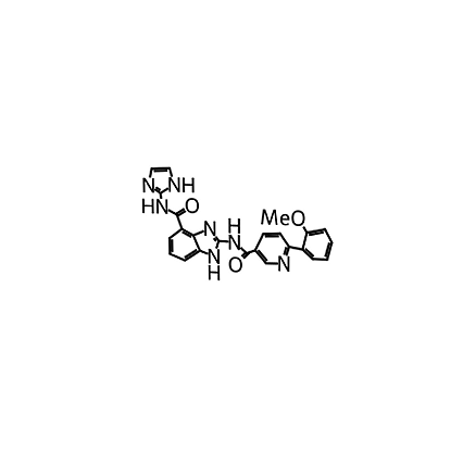 COc1ccccc1-c1ccc(C(=O)Nc2nc3c(C(=O)Nc4ncc[nH]4)cccc3[nH]2)cn1